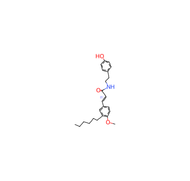 CCCCCCc1cc(/C=C/C(=O)NCCc2ccc(O)cc2)ccc1OC